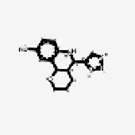 CC(C)(C)c1ccc2c(c1)C1OCCCC1C(c1csnn1)N2